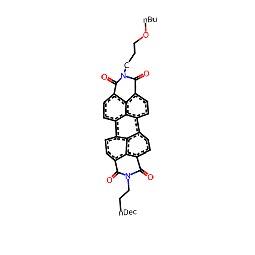 CCCCCCCCCCCCN1C(=O)c2ccc3c4ccc5c6c(ccc(c7ccc(c2c37)C1=O)c64)C(=O)N(CCCOCCCC)C5=O